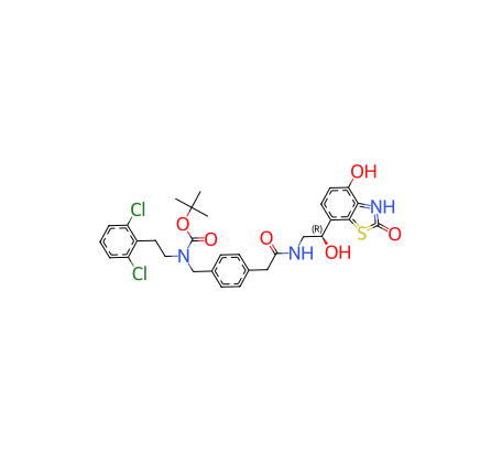 CC(C)(C)OC(=O)N(CCc1c(Cl)cccc1Cl)Cc1ccc(CC(=O)NC[C@H](O)c2ccc(O)c3[nH]c(=O)sc23)cc1